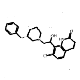 O=C1CCc2ccc(Cl)c(C(O)CN3CCC[C@@H](Cc4ccccc4)C3)c2N1